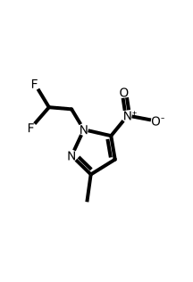 Cc1cc([N+](=O)[O-])n(CC(F)F)n1